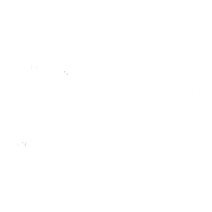 O=C(O)N1CCC(C(O)(c2ccc3c(c2)OCO3)c2ccc3c(c2)OCO3)CC1c1ccc([N+](=O)[O-])cc1